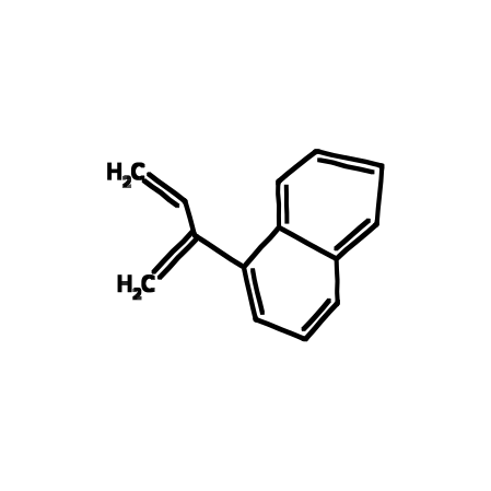 C=CC(=C)c1cccc2ccccc12